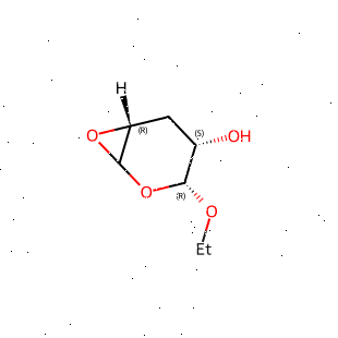 CCO[C@@H]1OC2O[C@@H]2C[C@@H]1O